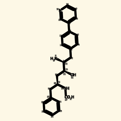 N[C@@H](Cc1ccc(-c2cccnc2)cc1)[C@@H](O)C[C@H](Cc1ccccc1)NC(=O)O